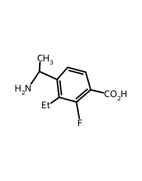 CCc1c(C(C)N)ccc(C(=O)O)c1F